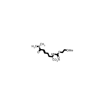 COCCOC(=O)N[C@@H](CC/C=C/C(=O)N(C)C)C(=O)O